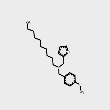 CCCCCCCCCCN(Cc1ccc(OC)cc1)Cc1ccco1